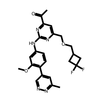 COc1cc(Nc2nc(COCC3CC(F)(F)C3)cc(C(C)=O)n2)ccc1-c1cnnc(C)c1